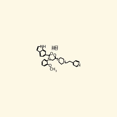 COc1ccccc1N(CC(=O)N1CCN(CCc2ccncc2)CC1)C(=O)c1ccc2cc[nH]c2c1.Cl.Cl